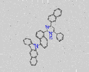 C1=C(c2ccccc2)NC(c2cccc3c(-n4c5ccccc5c5cc6ccccc6cc54)cccc23)N=C1c1ccc2ccccc2c1